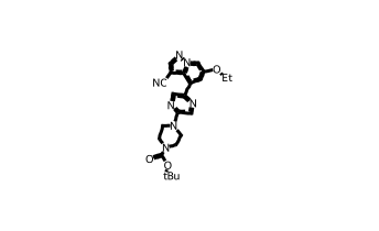 CCOc1cc(-c2cnc(N3CCN(C(=O)OC(C)(C)C)CC3)cn2)c2c(C#N)cnn2c1